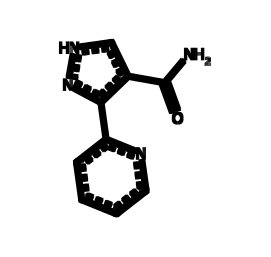 NC(=O)c1c[nH]nc1-c1ccccn1